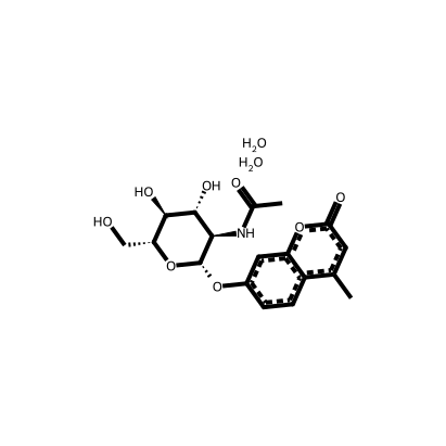 CC(=O)N[C@H]1[C@H](Oc2ccc3c(C)cc(=O)oc3c2)O[C@H](CO)[C@@H](O)[C@@H]1O.O.O